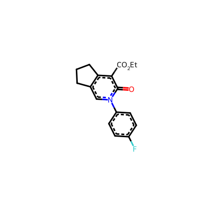 CCOC(=O)c1c2c(cn(-c3ccc(F)cc3)c1=O)CCC2